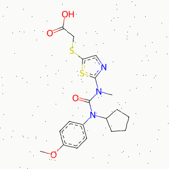 COc1ccc(N(C(=O)N(C)c2ncc(SCC(=O)O)s2)C2CCCC2)cc1